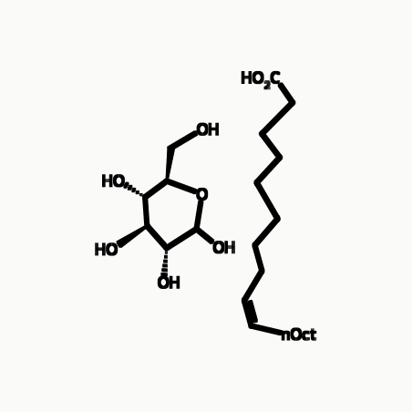 CCCCCCCC/C=C\CCCCCCCC(=O)O.OC[C@H]1OC(O)[C@H](O)[C@@H](O)[C@@H]1O